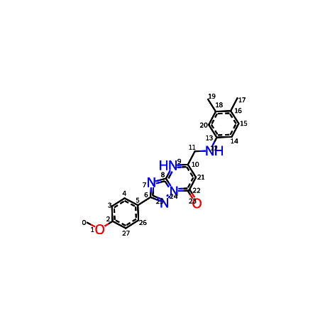 COc1ccc(-c2nc3[nH]c(CNc4ccc(C)c(C)c4)cc(=O)n3n2)cc1